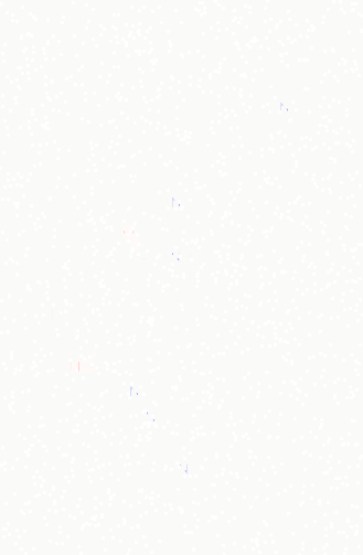 CN1CCN(/N=C/c2cc(C(=O)Nc3ncc(-c4cccc(N5CCCC5)c4)s3)cc(F)c2O)CC1